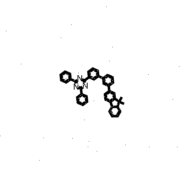 CC1(C)c2cc(-c3cccc(-c4cccc(-c5nc(-c6ccccc6)nc(-c6ccccc6)n5)c4)c3)ccc2C2C=CC=CC21